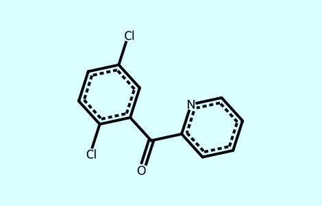 O=C(c1ccccn1)c1cc(Cl)ccc1Cl